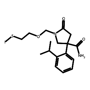 CC(C)c1ccccc1C1(C(N)=O)CC(=O)N(COCCSI)C1